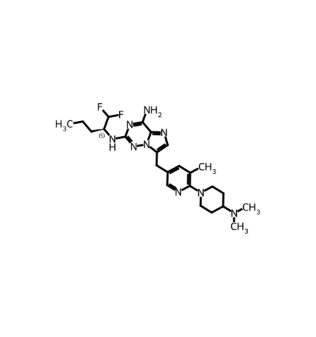 CCC[C@H](Nc1nc(N)c2ncc(Cc3cnc(N4CCC(N(C)C)CC4)c(C)c3)n2n1)C(F)F